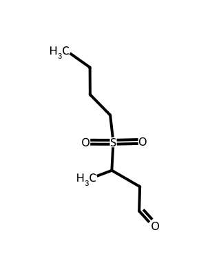 CCCCS(=O)(=O)C(C)CC=O